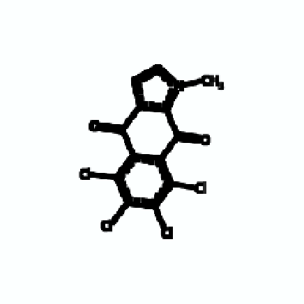 Cn1ccc2c1C(=O)c1c(Cl)c(Cl)c(Cl)c(Cl)c1C2=O